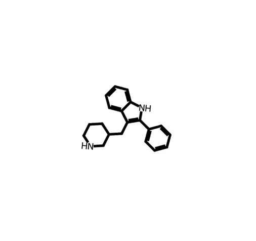 c1ccc(-c2[nH]c3ccccc3c2CC2CCCNC2)cc1